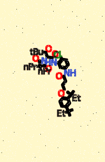 CCCC1(CCC)C(=O)N(C(C(=O)Nc2cc(NC(=O)CCCOc3ccc(C(C)(C)CC)cc3C(C)(C)CC)ccc2Cl)C(=O)C(C)(C)C)C1=O